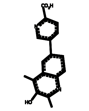 Cc1nc2ccc(-c3ccc(C(=O)O)nc3)cc2c(C)c1O